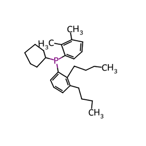 CCCCc1cccc(P(c2cccc(C)c2C)C2CCCCC2)c1CCCC